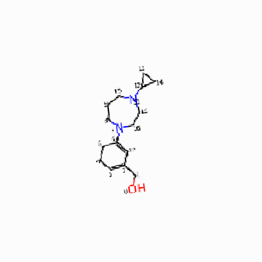 OCC1=CC[CH]C(N2CCCN(C3CC3)CC2)=C1